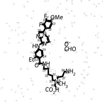 CCc1cc(Nc2nccn3c(-c4ccc(OC)c(F)c4F)cnc23)ccc1C(=O)NCCCCC[N+](C)(CCCN)CC(=O)O.O=C[O-]